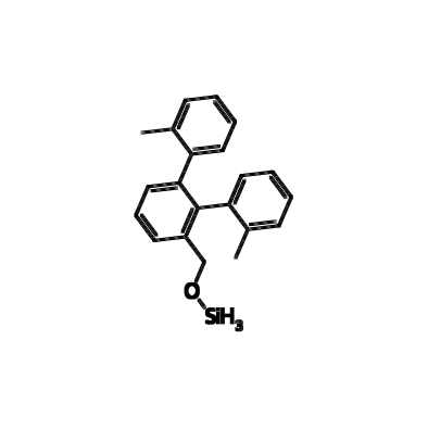 Cc1ccccc1-c1cccc(CO[SiH3])c1-c1ccccc1C